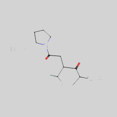 CC(=O)NC(C)C(=O)C(CC(=O)N1CCC[C@H]1C(=O)O)C(F)F